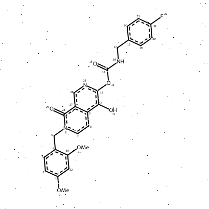 COc1ccc(Cn2ccc3c(O)c(OC(=O)NCc4ccc(F)cc4)ncc3c2=O)c(OC)c1